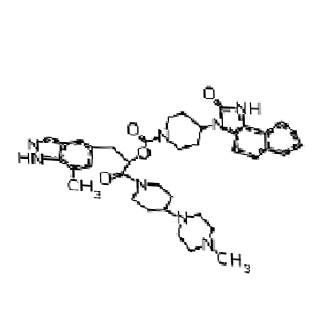 Cc1cc(CC(OC(=O)N2CCC(n3c(=O)[nH]c4c5ccccc5ccc43)CC2)C(=O)N2CCC(N3CCN(C)CC3)CC2)cc2cn[nH]c12